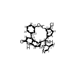 C=C1C=NN=C1C1(N)c2ccc(Cl)c(c2)COc2cccc(c2)-c2cc(=O)[nH]c3ccc1cc23